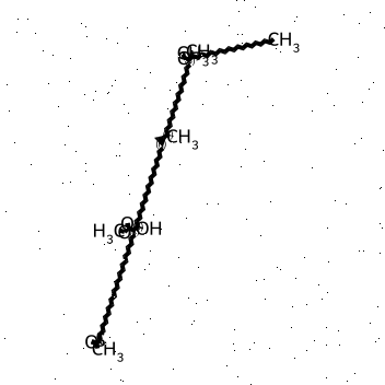 CCCCCCCCCCCCCCCCCC[C@H](C)[C@H](CCCCCCCCCCCCCCCC[C@H](C)C1C[C@H]1CCCCCCCCCCCCCCCCCC[C@@H](O)[C@@H](CCCCCCCCCCCCCCCCCCCCCCCCSC(C)=O)C(=O)OC)OC